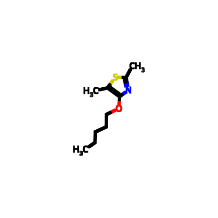 CCCCCOc1nc(C)sc1C